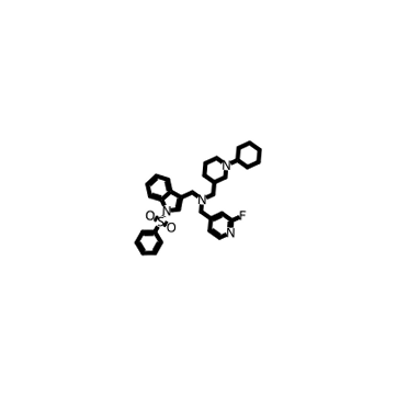 O=S(=O)(c1ccccc1)n1cc(CN(Cc2ccnc(F)c2)CC2CCCN(C3CCCCC3)C2)c2ccccc21